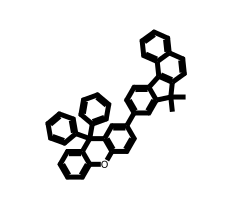 CC1(C)c2cc(-c3ccc4c(c3)C(c3ccccc3)(c3ccccc3)c3ccccc3O4)ccc2-c2c1ccc1ccccc21